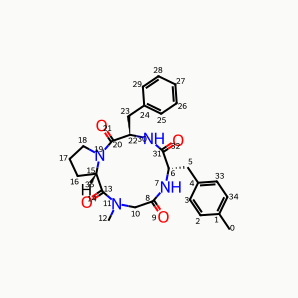 Cc1ccc(C[C@@H]2NC(=O)CN(C)C(=O)[C@@H]3CCCN3C(=O)[C@@H](Cc3ccccc3)NC2=O)cc1